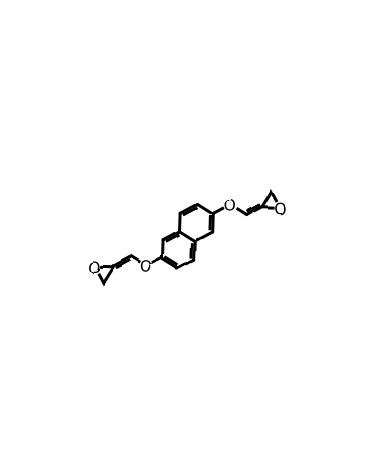 C(Oc1ccc2cc(OC=C3CO3)ccc2c1)=C1CO1